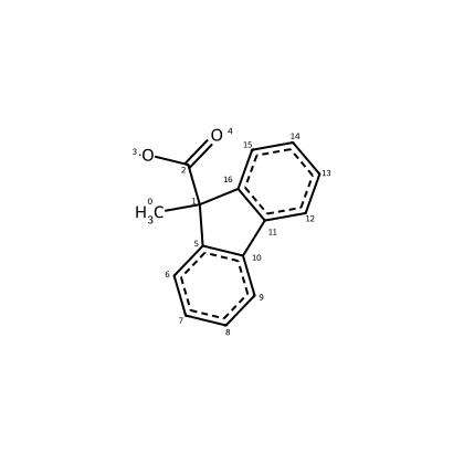 CC1(C([O])=O)c2ccccc2-c2ccccc21